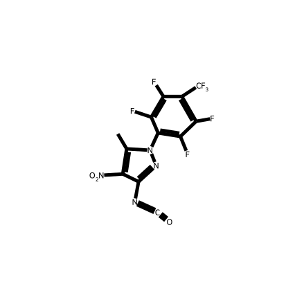 Cc1c([N+](=O)[O-])c(N=C=O)nn1-c1c(F)c(F)c(C(F)(F)F)c(F)c1F